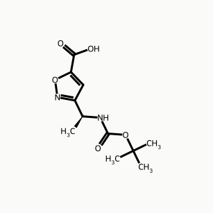 C[C@H](NC(=O)OC(C)(C)C)c1cc(C(=O)O)on1